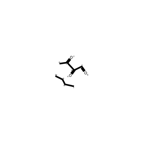 CC(=O)C(=O)C=O.CCCC